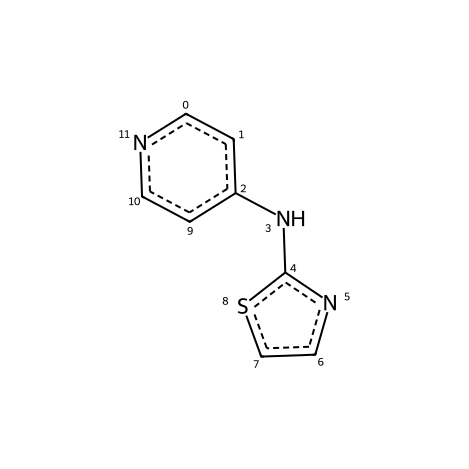 c1cc(Nc2nccs2)ccn1